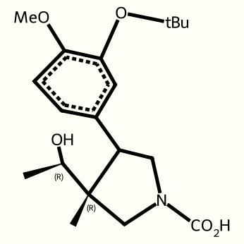 COc1ccc(C2CN(C(=O)O)C[C@]2(C)[C@@H](C)O)cc1OC(C)(C)C